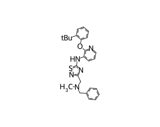 CN(Cc1ccccc1)Cc1nsc(Nc2cccnc2Oc2ccccc2C(C)(C)C)n1